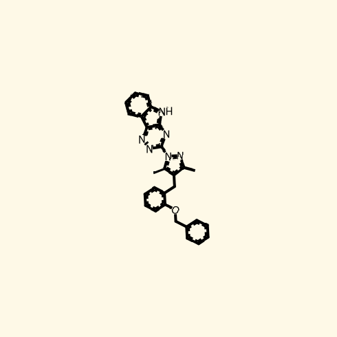 Cc1nn(-c2nnc3c(n2)[nH]c2ccccc23)c(C)c1Cc1ccccc1OCc1ccccc1